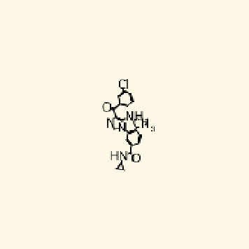 Cc1ccc(C(=O)NC2CC2)cc1-n1cnc(C(=O)c2cccc(Cl)c2)c1N